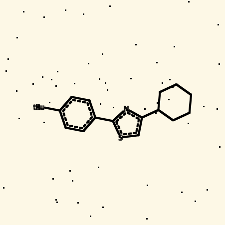 CC(C)(C)c1ccc(-c2nc(C3CCCCC3)cs2)cc1